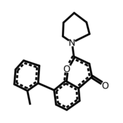 Cc1ccccc1-c1cccc2c(=O)cc(N3CCCCC3)oc12